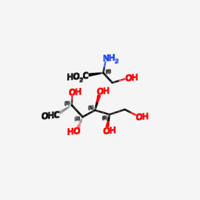 N[C@@H](CO)C(=O)O.O=C[C@H](O)[C@@H](O)[C@@H](O)[C@H](O)CO